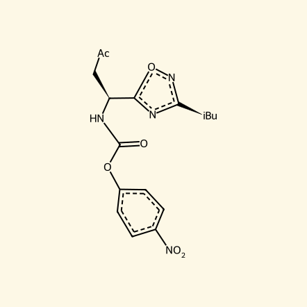 CC[C@H](C)c1noc([C@H](CC(C)=O)NC(=O)Oc2ccc([N+](=O)[O-])cc2)n1